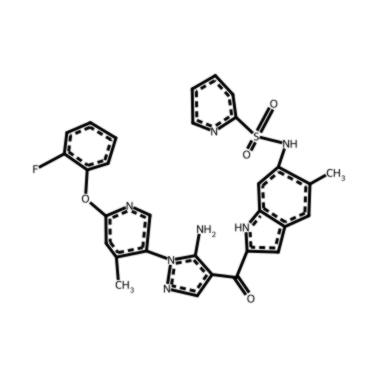 Cc1cc2cc(C(=O)c3cnn(-c4cnc(Oc5ccccc5F)cc4C)c3N)[nH]c2cc1NS(=O)(=O)c1ccccn1